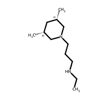 CCNCCCN1C[C@H](C)C[C@H](C)C1